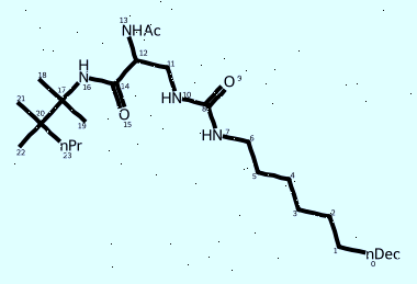 CCCCCCCCCCCCCCCCNC(=O)NCC(NC(C)=O)C(=O)NC(C)(C)C(C)(C)CCC